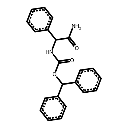 NC(=O)C(NC(=O)OC(c1ccccc1)c1ccccc1)c1ccccc1